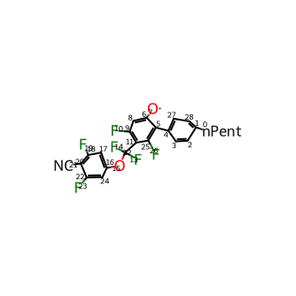 CCCCCc1ccc(-c2c([O])cc(F)c(C(F)(F)Oc3cc(F)c(C#N)c(F)c3)c2F)cc1